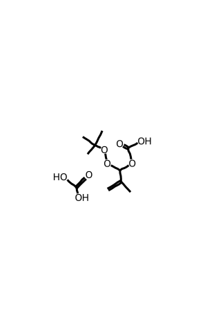 C=C(C)C(OOC(C)(C)C)OC(=O)O.O=C(O)O